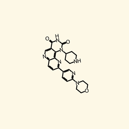 O=c1[nH]c(=O)n(C2CCNCC2)c2c1cnc1ccc(-c3ccc(N4CCOCC4)nc3)nc12